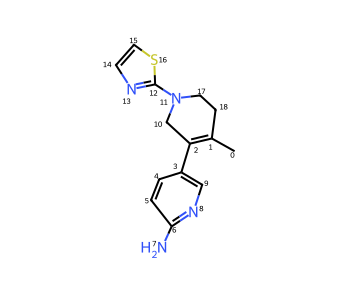 CC1=C(c2ccc(N)nc2)CN(c2nccs2)CC1